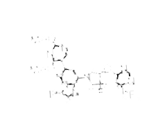 COc1ncc(-c2cc(N3CC(Oc4cc(C(F)(F)F)ncn4)C(F)(F)C3)c3ncc(F)n3n2)c(OC)n1